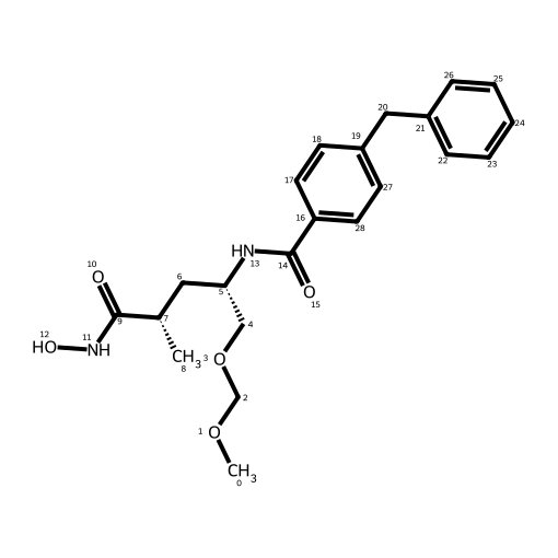 COCOC[C@H](C[C@H](C)C(=O)NO)NC(=O)c1ccc(Cc2ccccc2)cc1